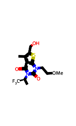 COCCn1c(=O)n([C@@H](C)C(F)(F)F)c(=O)c2c(C)c(CO)sc21